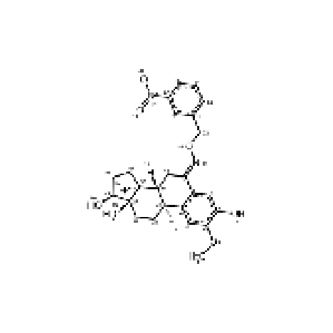 COc1cc2c(cc1O)/C(=N/OCc1cccc([N+](=O)[O-])c1)C[C@@H]1[C@@H]2CC[C@]2(C)[C@@H](O)CC[C@@H]12